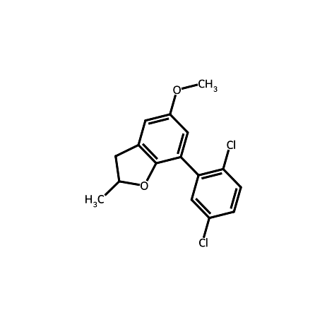 COc1cc2c(c(-c3cc(Cl)ccc3Cl)c1)OC(C)C2